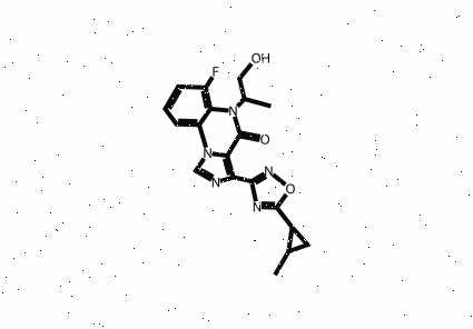 CC1CC1c1nc(-c2ncn3c2c(=O)n(C(C)CO)c2c(F)cccc23)no1